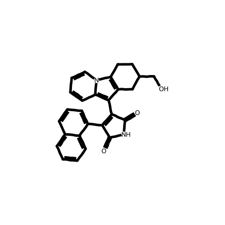 O=C1NC(=O)C(c2c3c(n4ccccc24)CCC(CO)C3)=C1c1cccc2ccccc12